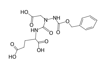 O=C(O)CCC(NC(=O)N(CC(=O)O)NC(=O)OCc1ccccc1)C(=O)O